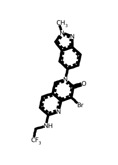 Cn1cc2cc(-n3cc4ccc(NCC(F)(F)F)nc4c(Br)c3=O)ccc2n1